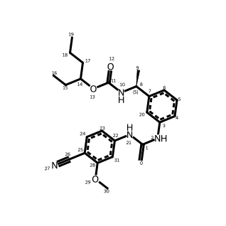 C=C(Nc1cccc([C@H](C)NC(=O)OC(CC)CCC)c1)Nc1ccc(C#N)c(OC)c1